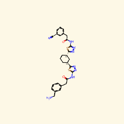 N#Cc1cccc(CC(=O)Nc2nnc([C@H]3CCC[C@H](c4nnc(NC(=O)Cc5cccc(CN)c5)s4)C3)s2)c1